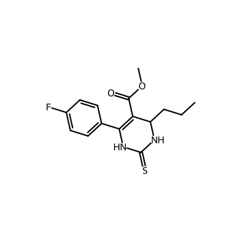 CCCC1NC(=S)NC(c2ccc(F)cc2)=C1C(=O)OC